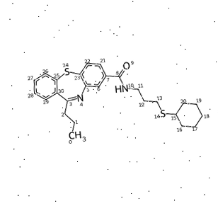 CCCC1=Nc2cc(C(=O)NCCCSC3CCCCC3)ccc2Sc2ccccc21